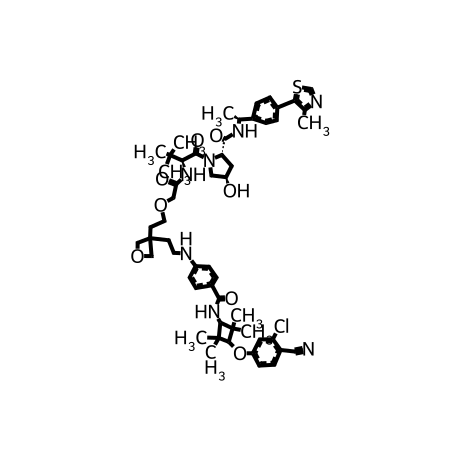 Cc1ncsc1-c1ccc([C@H](C)NC(=O)[C@@H]2C[C@@H](O)CN2C(=O)[C@@H](NC(=O)COCCC2(CCNc3ccc(C(=O)NC4C(C)(C)C(Oc5ccc(C#N)c(Cl)c5)C4(C)C)cc3)COC2)C(C)(C)C)cc1